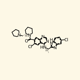 C[C@H](Nc1ncnc2cc(C(=O)N3CCCC[C@H]3CN3CCCCC3)c(Cl)cc12)c1nc2cc(Cl)ccc2[nH]1